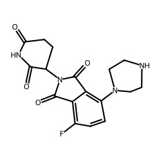 O=C1CCC(N2C(=O)c3c(F)ccc(N4CCNCC4)c3C2=O)C(=O)N1